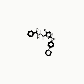 O=C(NNNc1nc(Nc2ccc(N3CCCCC3)cc2)ncc1F)c1ccccc1